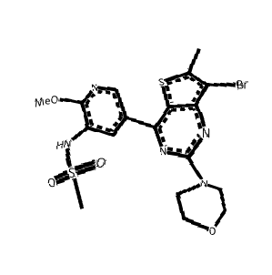 COc1ncc(-c2nc(N3CCOCC3)nc3c(Br)c(C)sc23)cc1NS(C)(=O)=O